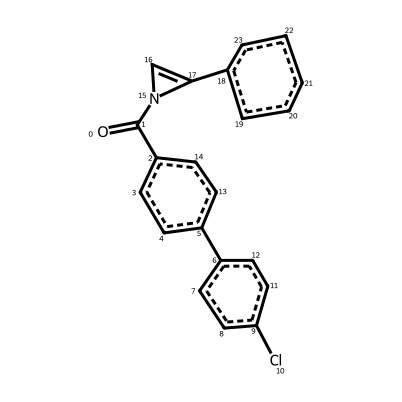 O=C(c1ccc(-c2ccc(Cl)cc2)cc1)N1C=C1c1ccccc1